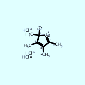 CC1=[As][C](C)([Zr])C(C)=C1C.Cl.Cl.Cl